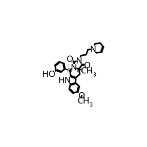 COc1ccc2[nH]c3c(c2c1)C[C@@]1(C)C(=O)N(CCCN2CC=CCC2)C(=O)N1[C@@H]3c1cccc(O)c1